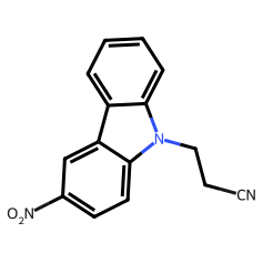 N#CCCn1c2ccccc2c2cc([N+](=O)[O-])ccc21